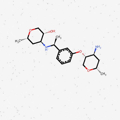 C[C@H](N[C@H]1C[C@H](C)OC[C@@H]1O)c1cccc(O[C@H]2CO[C@@H](C)C[C@@H]2N)c1